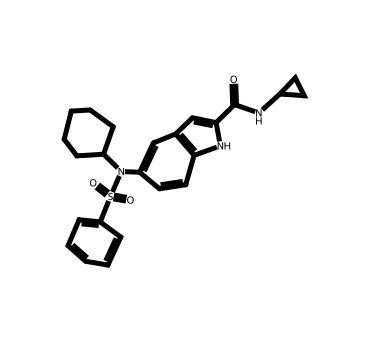 O=C(NC1CC1)c1cc2cc(N(C3CCCCC3)S(=O)(=O)c3ccccc3)ccc2[nH]1